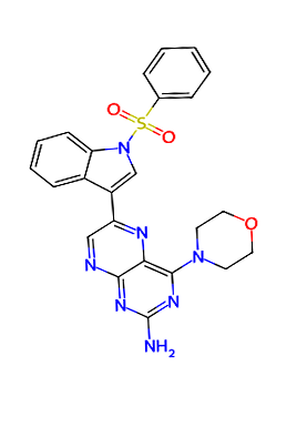 Nc1nc(N2CCOCC2)c2nc(-c3cn(S(=O)(=O)c4ccccc4)c4ccccc34)cnc2n1